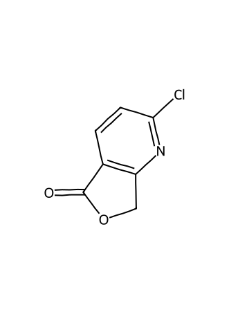 O=C1OCc2nc(Cl)ccc21